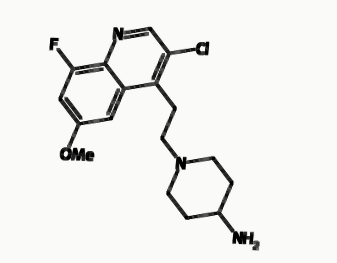 COc1cc(F)c2ncc(Cl)c(CCN3CCC(N)CC3)c2c1